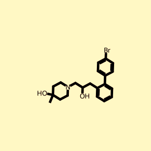 CC1(O)CCN(CC(O)Cc2ccccc2-c2ccc(Br)cc2)CC1